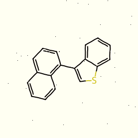 [c]1ccc2ccccc2c1-c1csc2ccccc12